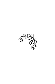 CCC(=O)OC[C@H](OC)Oc1ccccc1Sc1cc(-n2c(=O)cc(C(F)(F)F)n(C)c2=O)c(F)cc1Cl